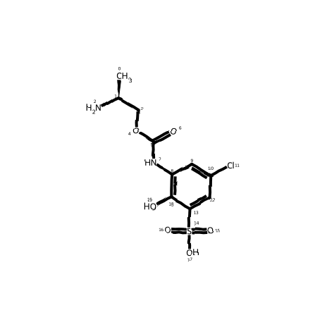 C[C@H](N)COC(=O)Nc1cc(Cl)cc(S(=O)(=O)O)c1O